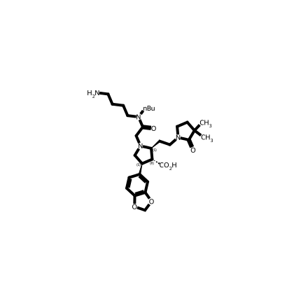 CCCCN(CCCCN)C(=O)CN1C[C@H](c2ccc3c(c2)OCO3)[C@@H](C(=O)O)[C@@H]1CCN1CCC(C)(C)C1=O